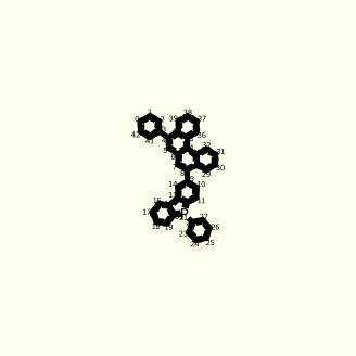 c1ccc(-c2cc3cc(-c4ccc5c(c4)c4ccccc4p5-c4ccccc4)c4ccccc4c3c3ccccc23)cc1